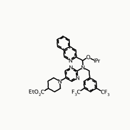 CCOC(=O)C1CCN(c2cnc(N(Cc3cc(C(F)(F)F)cc(C(F)(F)F)c3)C(OC(C)C)c3cc4ccccc4cn3)nc2)CC1